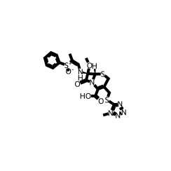 CO[C@@]1(NC=C(C)[S+]([O-])c2ccccc2)C(=O)N2C(C(=O)O)=C(CSc3nnnn3C)CS[C@H]21